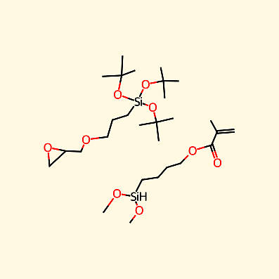 C=C(C)C(=O)OCCCC[SiH](OC)OC.CC(C)(C)O[Si](CCCOCC1CO1)(OC(C)(C)C)OC(C)(C)C